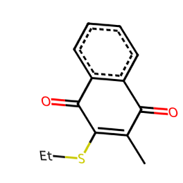 CCSC1=C(C)C(=O)c2ccccc2C1=O